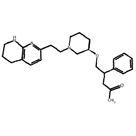 CC(=O)CC(CO[C@@H]1CCCN(CCc2ccc3c(n2)NCCC3)C1)c1ccccc1